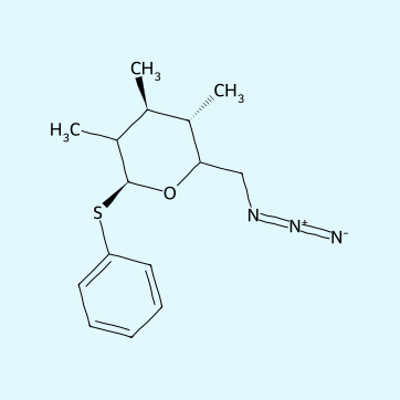 CC1[C@@H](C)[C@H](C)C(CN=[N+]=[N-])O[C@H]1Sc1ccccc1